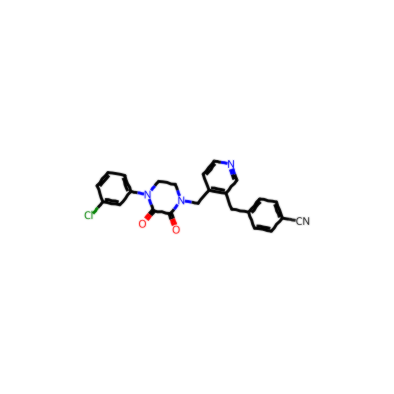 N#Cc1ccc(Cc2cnccc2CN2CCN(c3cccc(Cl)c3)C(=O)C2=O)cc1